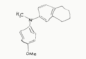 COc1ccc(N(C)c2ccc3c(c2)CCCC3)cc1